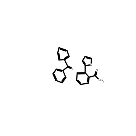 NC(=O)c1ccccc1-c1ccco1.S=C(c1ccccc1)c1ccccc1